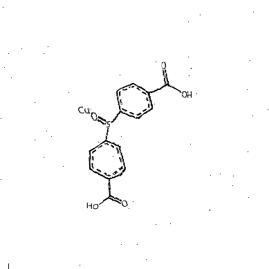 O=C(O)c1ccc(S(=O)c2ccc(C(=O)O)cc2)cc1.[Cu]